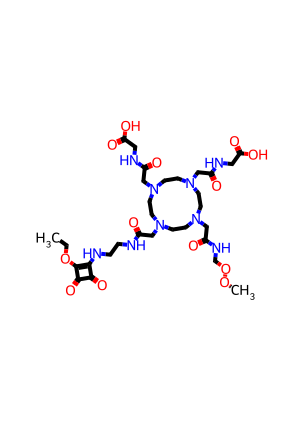 CCOc1c(NCCNC(=O)CN2CCN(CC(=O)NCOOC)CCN(CC(=O)NCC(=O)O)CCN(CC(=O)NCC(=O)O)CC2)c(=O)c1=O